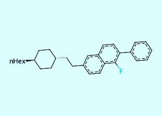 CCCCCC[C@H]1CC[C@H](CCc2ccc3c(F)c(-c4ccccc4)ccc3c2)CC1